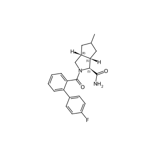 CC1C[C@H]2CN(C(=O)c3ccccc3-c3ccc(F)cc3)[C@H](C(N)=O)[C@H]2C1